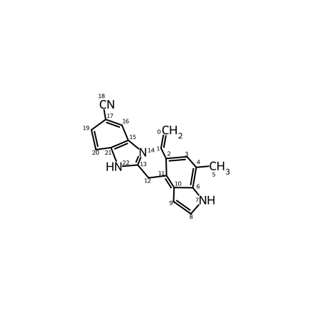 C=Cc1cc(C)c2[nH]ccc2c1Cc1nc2cc(C#N)ccc2[nH]1